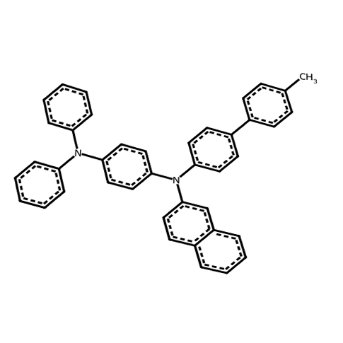 Cc1ccc(-c2ccc(N(c3ccc(N(c4ccccc4)c4ccccc4)cc3)c3ccc4ccccc4c3)cc2)cc1